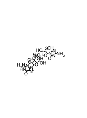 CO[C@H]1C(O)[C@@H](COP(=O)(O)OC2[C@@H](CO)O[C@@H](n3cnc4c(=O)[nH]c(N)nc43)[C@H]2OC)O[C@H]1n1cnc(N)nc1=O